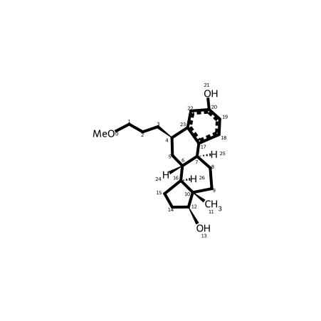 COCCC[C@@H]1C[C@@H]2[C@H](CC[C@]3(C)[C@@H](O)CC[C@@H]23)c2ccc(O)cc21